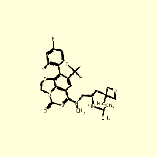 CC(C)NC(CN(C)c1nc(=O)n2c3c(c(-c4ccc(F)cc4F)c(C(F)(F)F)cc13)SCC2)CC1(C)COC1